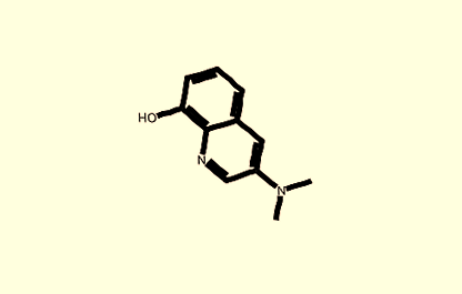 CN(C)c1cnc2c(O)cccc2c1